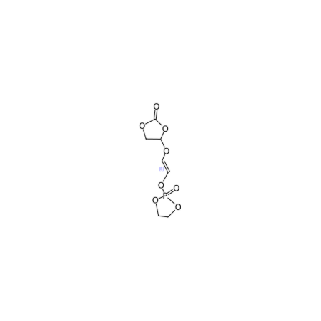 O=C1OCC(O/C=C/OP2(=O)OCCO2)O1